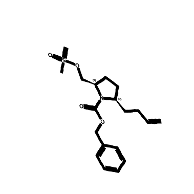 C=CCC[C@@H]1CC[C@H](COS(=C)(C)=O)N1C(=O)OCc1ccccc1